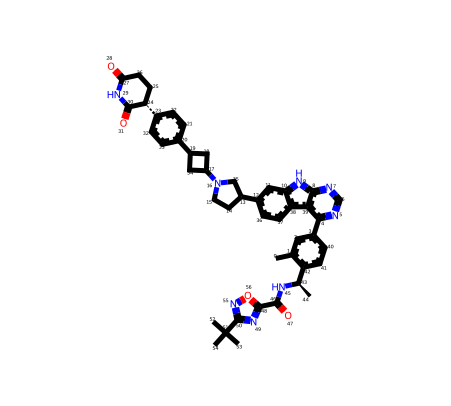 Cc1cc(-c2ncnc3[nH]c4cc(C5CCN(C6CC(c7ccc([C@H]8CCC(=O)NC8=O)cc7)C6)C5)ccc4c23)ccc1[C@@H](C)NC(=O)c1nc(C(C)(C)C)no1